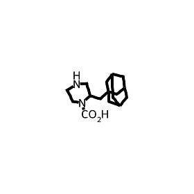 O=C(O)N1CCNCC1CC12CC3CC(CC(C3)C1)C2